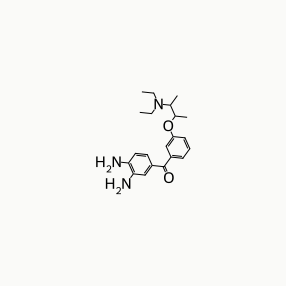 CCN(CC)C(C)C(C)Oc1cccc(C(=O)c2ccc(N)c(N)c2)c1